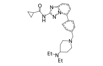 CCN(CC)C1CCN(Cc2ccc(-c3cccc4nc(NC(=O)C5CC5)nn34)cc2)CC1